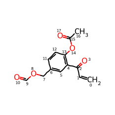 C=CC(=O)c1cc(COC=O)ccc1OC(C)=O